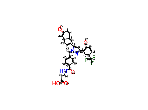 COc1ccc2cc(-c3cc(-c4cc(C(F)(F)F)ccc4OC)nn3[C@@H](C)c3ccc(C(=O)NCCC(=O)O)cc3)ccc2c1